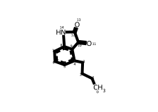 CCCCc1cccc2c1C(=O)C(=O)N2